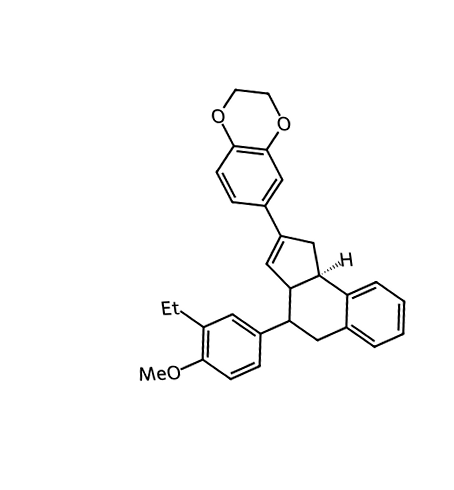 CCc1cc(C2Cc3ccccc3[C@@H]3CC(c4ccc5c(c4)OCCO5)=CC23)ccc1OC